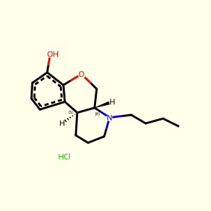 CCCCN1CCC[C@H]2c3cccc(O)c3OC[C@@H]21.Cl